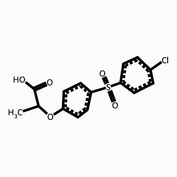 CC(Oc1ccc(S(=O)(=O)c2ccc(Cl)cc2)cc1)C(=O)O